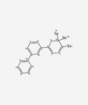 [2H]C1=CC=C(c2cccc(-c3ccccc3)c2)CC1([2H])[2H]